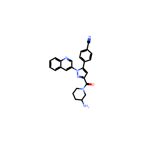 N#Cc1ccc(-c2cc(C(=O)N3CCCC(N)C3)nn2-c2cnc3ccccc3c2)cc1